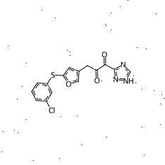 O=C(Cc1coc(Sc2cccc(Cl)c2)c1)C(=O)c1nc[nH]n1